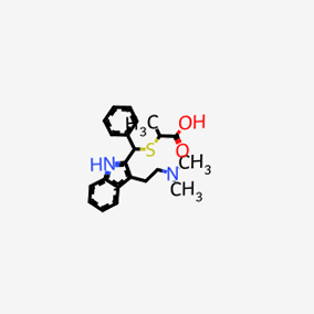 CC(SC(c1ccccc1)c1[nH]c2ccccc2c1CCN(C)C)C(=O)O